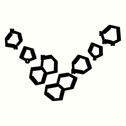 c1ccc2ccccc2c1.c1ccc2ncccc2c1.c1ccncc1.c1ccoc1.c1ccsc1.c1cnccn1.c1cnnnc1